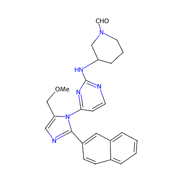 COCc1cnc(-c2ccc3ccccc3c2)n1-c1ccnc(NC2CCCN(C=O)C2)n1